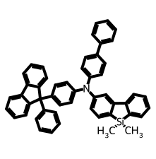 C[Si]1(C)c2ccccc2-c2cc(N(c3ccc(-c4ccccc4)cc3)c3ccc(C4(c5ccccc5)c5ccccc5-c5ccccc54)cc3)ccc21